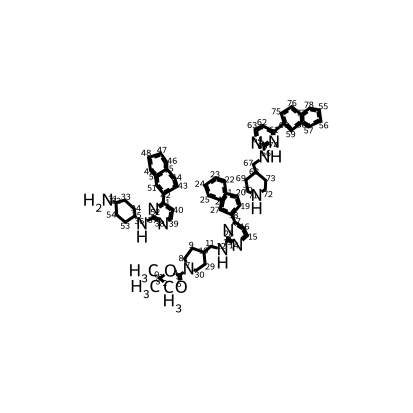 CC(C)(C)OC(=O)N1CCC(CNc2nccc(-c3ccc4ccccc4c3)n2)CC1.N[C@H]1CC[C@H](Nc2nccc(-c3ccc4ccccc4c3)n2)CC1.c1ccc2cc(-c3ccnc(NCC4CCNCC4)n3)ccc2c1